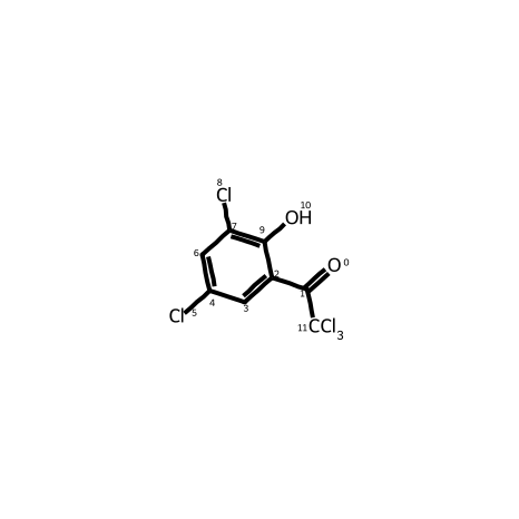 O=C(c1cc(Cl)cc(Cl)c1O)C(Cl)(Cl)Cl